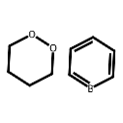 C1CCOOC1.b1ccccc1